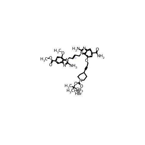 Br.Br.COC(=O)c1cc(OC)c2c(c1)nc(N)n2C/C=C/Cn1c(N)nc2cc(C(N)=O)cc(OCC#CC3CCN(C(=O)OC(C)(C)C)CC3)c21